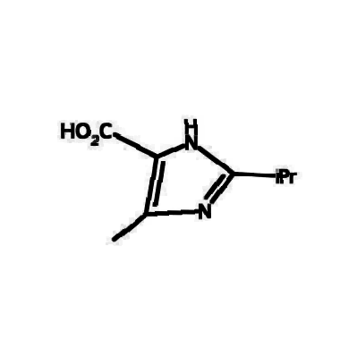 Cc1nc(C(C)C)[nH]c1C(=O)O